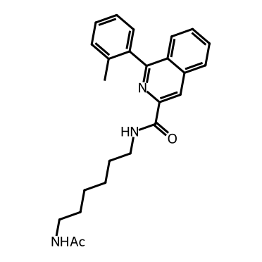 CC(=O)NCCCCCCNC(=O)c1cc2ccccc2c(-c2ccccc2C)n1